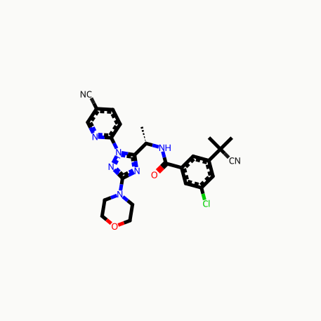 C[C@H](NC(=O)c1cc(Cl)cc(C(C)(C)C#N)c1)c1nc(N2CCOCC2)nn1-c1ccc(C#N)cn1